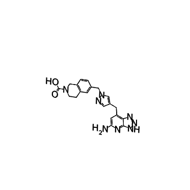 Nc1cc(Cc2cnn(Cc3ccc4c(c3)CCN(C(=O)O)C4)c2)c2nn[nH]c2n1